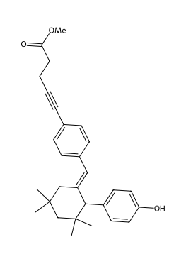 COC(=O)CCC#Cc1ccc(C=C2CC(C)(C)CC(C)(C)C2c2ccc(O)cc2)cc1